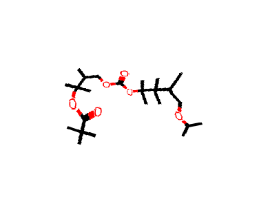 CC(C)OCC(C)C(C)(C)C(C)(C)OC(=O)OCC(C)C(C)(C)OC(=O)C(C)(C)C